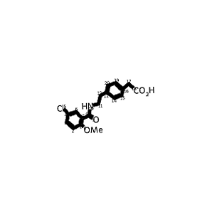 COc1ccc(Cl)cc1C(=O)NCCc1ccc(CC(=O)O)cc1